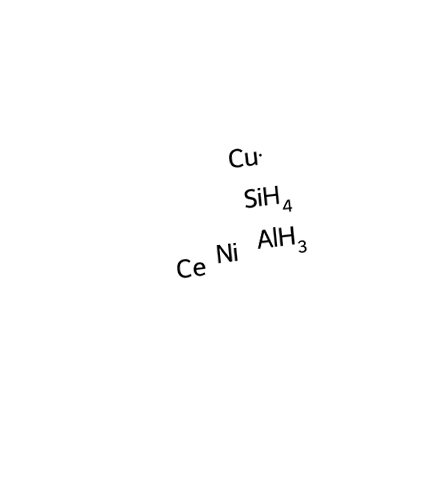 [AlH3].[Ce].[Cu].[Ni].[SiH4]